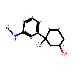 CCNc1cccc(C2(C#N)CCCC(O)C2)c1